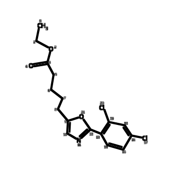 CCOC(=O)CCCCc1cnc(-c2ccc(Cl)cc2Cl)o1